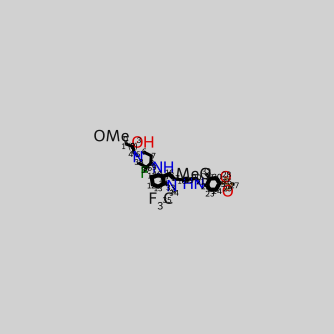 COC[C@H](O)CN1CCC(Nc2cccc3c2cc(C#CCNc2ccc(S(C)(=O)=O)cc2OC)n3CC(F)(F)F)C(F)C1